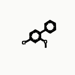 COc1[c]c(Cl)ccc1-c1ccccc1